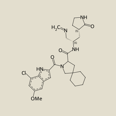 C=NC[C@H](C[C@@H]1CCNC1=O)NC(=O)C1CC2(CCCCC2)CN1C(=O)c1cc2cc(OC)cc(Cl)c2[nH]1